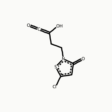 O=C=C(O)CCn1sc(Cl)cc1=O